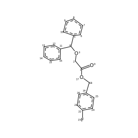 O=C(COC(c1ccccc1)c1ccccc1)OCc1ccc(F)cc1